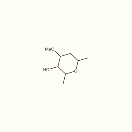 COC1CC(C)OC(C)C1O